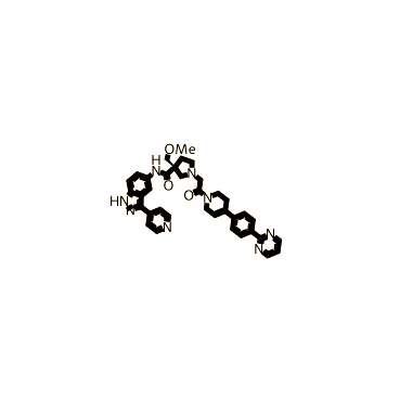 COC[C@@]1(C(=O)Nc2ccc3[nH]nc(-c4ccncc4)c3c2)CCN(CC(=O)N2CC=C(c3ccc(-c4ncccn4)cc3)CC2)C1